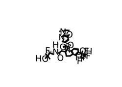 CN1CCOc2cc(S(=O)(=O)N3c4ccc(C(O)(C(F)(F)F)C(F)(F)F)cc4CCC3CC(=O)NC[C@@H](F)C(C)(C)O)cnc21